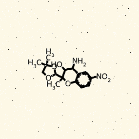 CC1(C)COC(C2(C)Oc3ccc([N+](=O)[O-])cc3C(N)C2O)O1